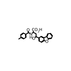 Cc1ccc(C(=O)NC(CC(=O)c2ccc3oc4ccccc4c3c2)C(=O)O)cc1